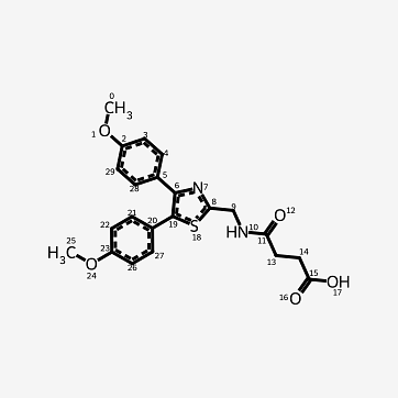 COc1ccc(-c2nc(CNC(=O)CCC(=O)O)sc2-c2ccc(OC)cc2)cc1